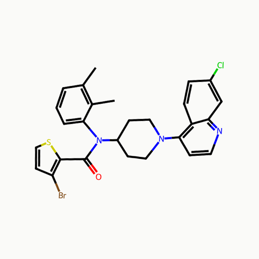 Cc1cccc(N(C(=O)c2sccc2Br)C2CCN(c3ccnc4cc(Cl)ccc34)CC2)c1C